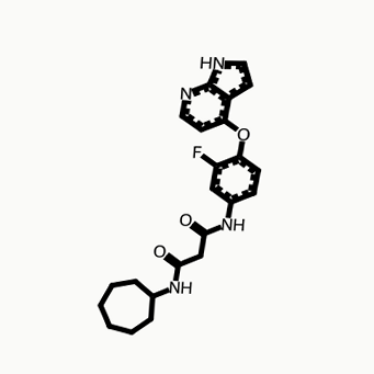 O=C(CC(=O)NC1CCCCCC1)Nc1ccc(Oc2ccnc3[nH]ccc23)c(F)c1